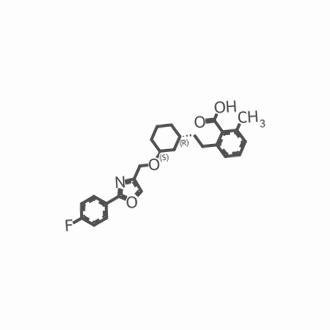 Cc1cccc(CC[C@H]2CCC[C@H](OCc3coc(-c4ccc(F)cc4)n3)C2)c1C(=O)O